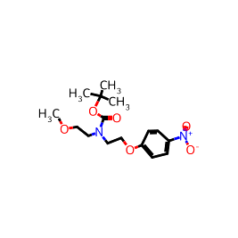 COCCN(CCOc1ccc([N+](=O)[O-])cc1)C(=O)OC(C)(C)C